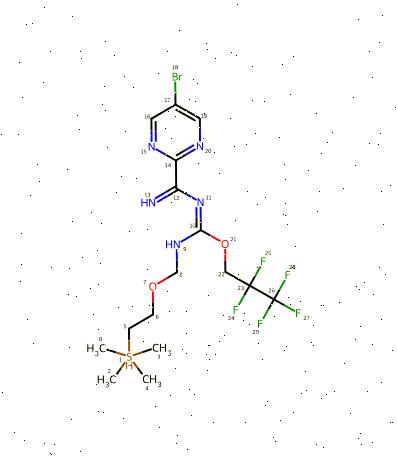 C[SH](C)(C)(C)CCOCN/C(=N\C(=N)c1ncc(Br)cn1)OCC(F)(F)C(F)(F)F